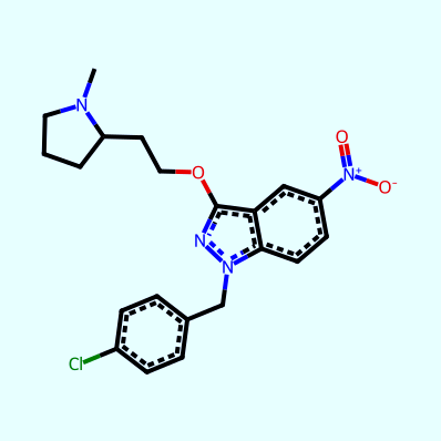 CN1CCCC1CCOc1nn(Cc2ccc(Cl)cc2)c2ccc([N+](=O)[O-])cc12